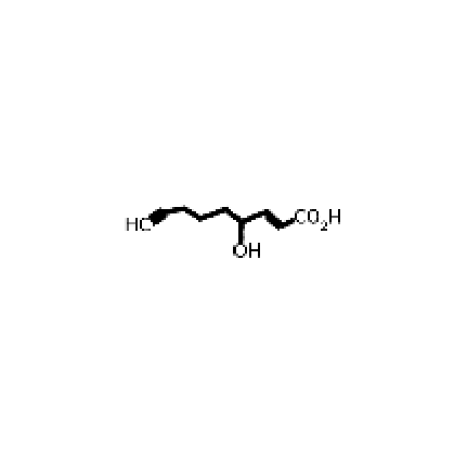 C#CCCCC(O)/C=C/C(=O)O